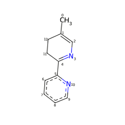 CC1=CN=C(c2ccccn2)CC1